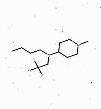 CCCCN(CC(F)(F)F)C1CCN(C)CC1